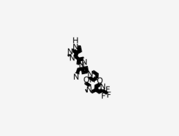 CN(CCO)Cc1cc(OC2CCN(C3CC(CC#N)(n4cc(-c5ncnc6[nH]ccc56)cn4)C3)CC2)nc(C(F)(F)F)c1